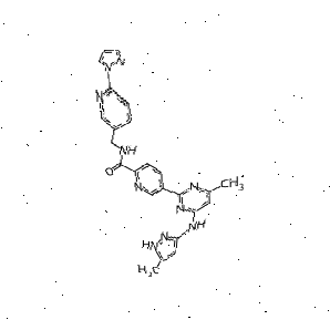 Cc1cc(Nc2cc(C)[nH]n2)nc(-c2ccc(C(=O)NCc3ccc(-n4cccn4)nc3)nc2)n1